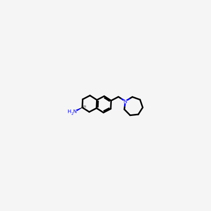 N[C@H]1CCc2cc(CN3CCCCCC3)ccc2C1